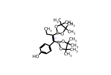 CC/C(B1OC(C)(C)C(C)(C)O1)=C(/B1OC(C)(C)C(C)(C)O1)c1ccc(O)cc1